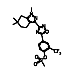 Cn1nc(-c2noc(-c3ccc(OS(C)(=O)=O)c(C(F)(F)F)c3)n2)c2c1CC(C)(C)CC2